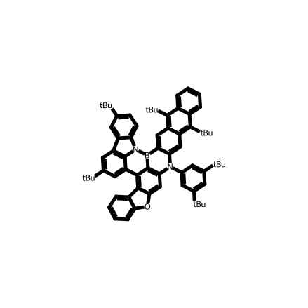 CC(C)(C)c1cc(N2c3cc4c(C(C)(C)C)c5ccccc5c(C(C)(C)C)c4cc3B3c4c2cc2oc5ccccc5c2c4-c2cc(C(C)(C)C)cc4c5cc(C(C)(C)C)ccc5n3c24)cc(C(C)(C)C)c1